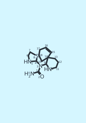 NC(=O)N(C1NCCS1)C1NCCCC12C=CCCC2